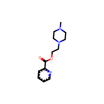 CN1CCN(CCOC(=O)c2ccccn2)CC1